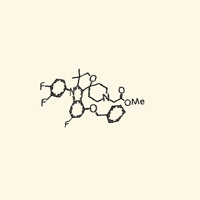 COC(=O)CN1CCC2(CC1)OCC(C)(C)c1c2c2c(OCc3ccccc3)cc(F)cc2n1-c1ccc(F)c(F)c1